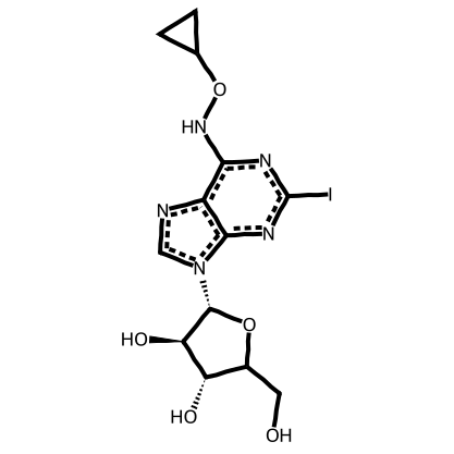 OCC1O[C@@H](n2cnc3c(NOC4CC4)nc(I)nc32)[C@H](O)[C@H]1O